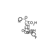 COC(=O)[C@@H](CSCC(CC(=O)O)C(=O)c1cccnc1)NC(=O)Nc1ccc(F)cc1